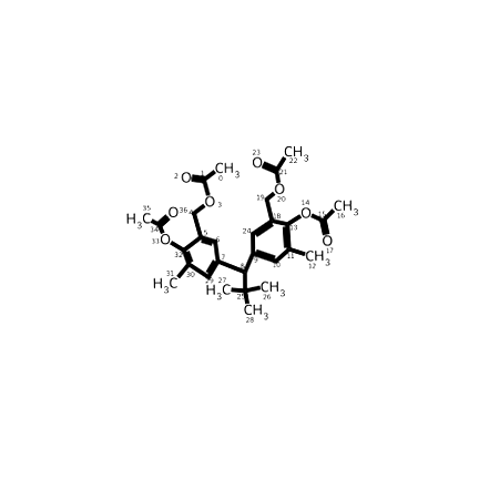 CC(=O)OCc1cc(C(c2cc(C)c(OC(C)=O)c(COC(C)=O)c2)C(C)(C)C)cc(C)c1OC(C)=O